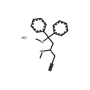 C#CCC(CC(OC)(c1ccccc1)c1ccccc1)NC.Cl